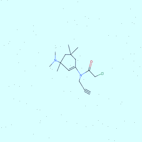 C#CCN(C(=O)CCl)C1=CC(C)(N(C)C)CC(C)(C)C1